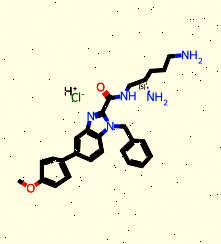 COc1ccc(-c2ccc3c(c2)nc(C(=O)NC[C@@H](N)CCCN)n3Cc2ccccc2)cc1.[Cl-].[H+]